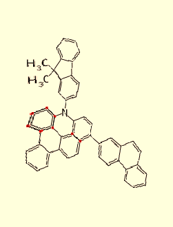 CC1(C)c2ccccc2-c2ccc(N(c3ccc(-c4ccc5c(ccc6ccccc65)c4)cc3)c3ccccc3-c3ccccc3-c3ccccc3-c3ccccc3)cc21